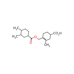 CC1=C(COC(=O)C2CCC(C)C(C)C2)CCC(C(=O)O)C1